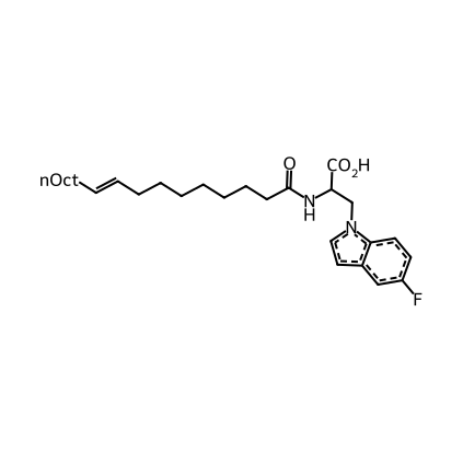 CCCCCCCCC=CCCCCCCCC(=O)NC(Cn1ccc2cc(F)ccc21)C(=O)O